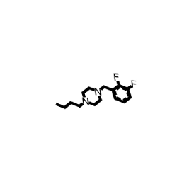 CCCCN1CCN(Cc2cccc(F)c2F)CC1